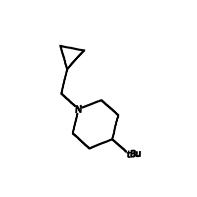 CC(C)(C)C1CCN(CC2CC2)CC1